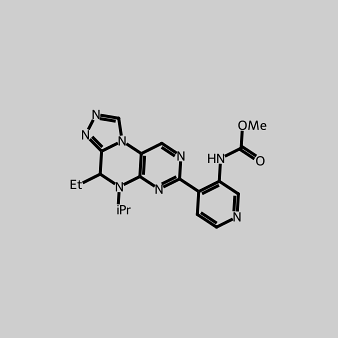 CCC1c2nncn2-c2cnc(-c3ccncc3NC(=O)OC)nc2N1C(C)C